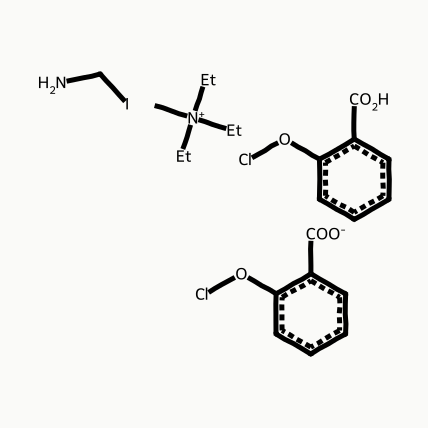 CC[N+](C)(CC)CC.NCI.O=C(O)c1ccccc1OCl.O=C([O-])c1ccccc1OCl